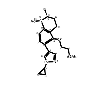 COCCOc1c(-c2cnn(C3CC3)c2)ccc2c1CC[C@H](C)N2C(C)=O